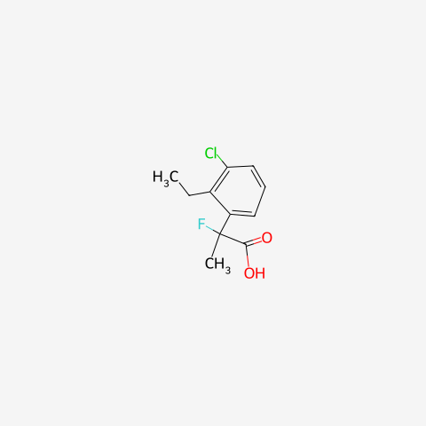 CCc1c(Cl)cccc1C(C)(F)C(=O)O